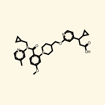 COc1ccc(C(=O)N(CC2CC2)c2cc(C)ccn2)c(N2CCC(COc3cc(C(CC(=O)O)C4CC4)ccn3)CC2)c1